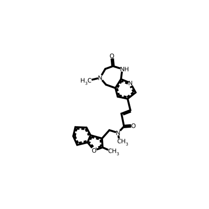 Cc1oc2ccccc2c1CN(C)C(=O)C=Cc1cnc2c(c1)CN(C)CC(=O)N2